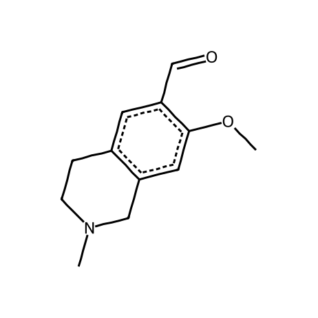 COc1cc2c(cc1C=O)CCN(C)C2